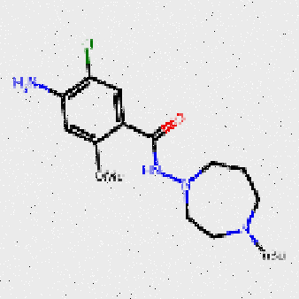 CCCCN1CCCN(NC(=O)c2cc(Cl)c(N)cc2OC)CC1